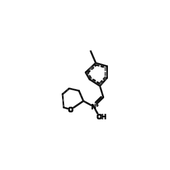 Cc1ccc(/C=[N+](/O)C2CCCCO2)cc1